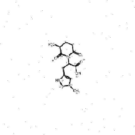 CC1CCC(=O)N(C(CC2=CN(C)SN2)C(=O)O)C1=O